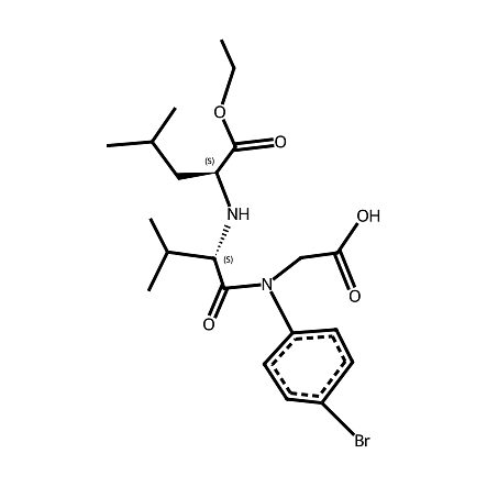 CCOC(=O)[C@H](CC(C)C)N[C@H](C(=O)N(CC(=O)O)c1ccc(Br)cc1)C(C)C